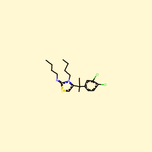 CCCCN=c1scc(C(C)(C)c2ccc(Cl)c(Cl)c2)n1CCCC